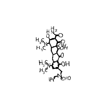 CC(C)CN(C=O)Cc1cc(N(C)C)c2c(c1O)C(=O)C1=C(O)C3(O)C(=O)C(C(N)=O)=C(O)C(N(C)C)C3CC1C2